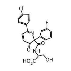 O=C(O)C(CO)NC(=O)C1(c2cccc(F)c2)N=C(c2ccc(Cl)cc2)C=CC1=O